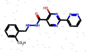 O=C(O)c1ccccc1CNNC(=O)c1cnc(-c2cccnn2)nc1O